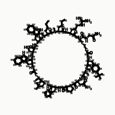 CCCC[C@H]1C(=O)N(C)[C@@H](CCCC)C(=O)N[C@@H](CCCNC(=N)N)C(=O)N[C@H](C(=O)NCC(N)=O)CSCC(=O)N[C@@H](Cc2ccc(C(C)(C)C)cc2)C(=O)N(C)[C@@H](C)C(=O)N[C@@H](CC(N)=O)C(=O)N2CCC[C@H]2C(=O)N[C@@H](Cc2cnc[nH]2)C(=O)N[C@@H](CC(C)C)C(=O)N(C)CC(=O)N[C@@H](Cc2c[nH]c3ccccc23)C(=O)N[C@@H](CO)C(=O)N[C@@H](Cc2c[nH]c3ccccc23)C(=O)N1C